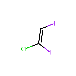 ClC(I)=CI